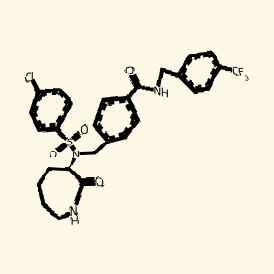 O=C(NCc1ccc(C(F)(F)F)cc1)c1ccc(CN([C@@H]2CCCCNC2=O)S(=O)(=O)c2ccc(Cl)cc2)cc1